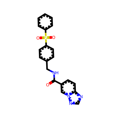 O=C(NCc1ccc(S(=O)(=O)c2ccccc2)cc1)c1ccc2ncnn2c1